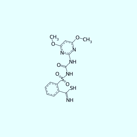 COc1cc(OC)nc(NC(=O)NS(=O)(=O)c2ccccc2C(=N)S)n1